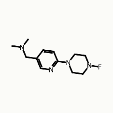 CN(C)Cc1ccc(N2CCN(F)CC2)nc1